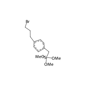 CO[Si](Cc1ccc(CCCBr)cc1)(OC)OC